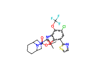 CC(C)(C)OC(=O)N1C2CCCC1CN(c1nc3c(OC(F)(F)F)c(Cl)cc(-c4nccs4)c3o1)C2